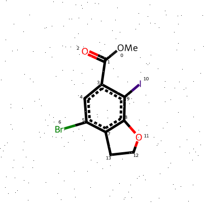 COC(=O)c1cc(Br)c2c(c1I)OCC2